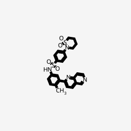 Cc1ccc(NS(=O)(=O)c2ccc(N3CCCCS3(=O)=O)cc2)cc1-c1ccc2cnccc2n1